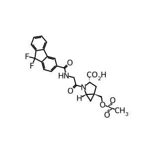 CS(=O)(=O)OC[C@@]12C[C@@H]1N(C(=O)CNC(=O)c1ccc3c(c1)-c1ccccc1C3(F)F)[C@H](C(=O)O)C2